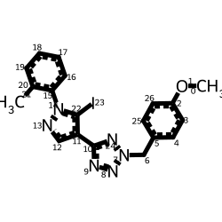 COc1ccc(Cn2nnc(-c3cnn(-c4ccccc4C)c3I)n2)cc1